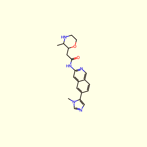 CC1NCCOC1CC(=O)Nc1cc2cc(-c3cncn3C)ccc2cn1